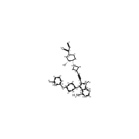 C=CC(=O)N1CC[C@H](N2CC(C#Cc3c(-c4ccc(Oc5cccc(C)n5)cc4)c4c(N)ncnc4n3C)C2)[C@H](F)C1